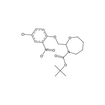 CC(C)(C)OC(=O)N1CCCCOC1COc1ccc(Cl)cc1[N+](=O)[O-]